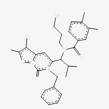 Cc1ccc(C(=O)N(CCCN)C(c2cc3c(Cl)c(C)nn3c(=O)n2Cc2ccccc2)C(C)C)cc1F